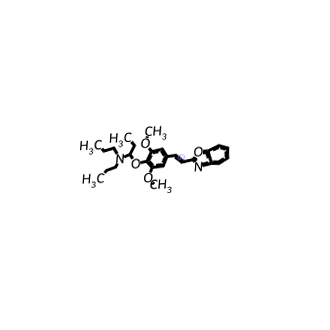 CCCN(CCC)C(CC)Oc1c(OC)cc(/C=C/c2nc3ccccc3o2)cc1OC